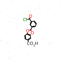 O=C(O)c1ccc2c(c1)OC(c1cccc(C(=O)Cl)c1)O2